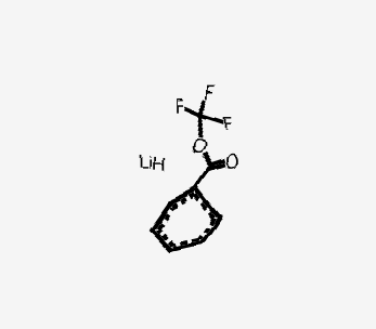 O=C(OC(F)(F)F)c1ccccc1.[LiH]